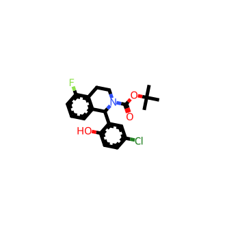 CC(C)(C)OC(=O)N1CCc2c(F)cccc2C1c1cc(Cl)ccc1O